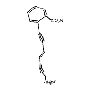 CCCCCCC#CC=CC#Cc1ccccc1C(=O)O